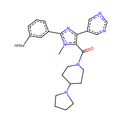 CCCCCCc1cccc(-c2nc(-c3cncnc3)c(C(=O)N3CCC(N4CCCC4)CC3)n2C)c1